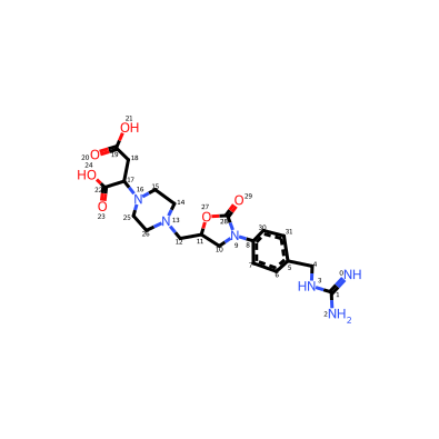 N=C(N)NCc1ccc(N2CC(CN3CCN(C(CC(=O)O)C(=O)O)CC3)OC2=O)cc1